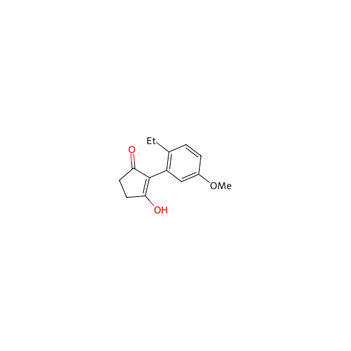 CCc1ccc(OC)cc1C1=C(O)CCC1=O